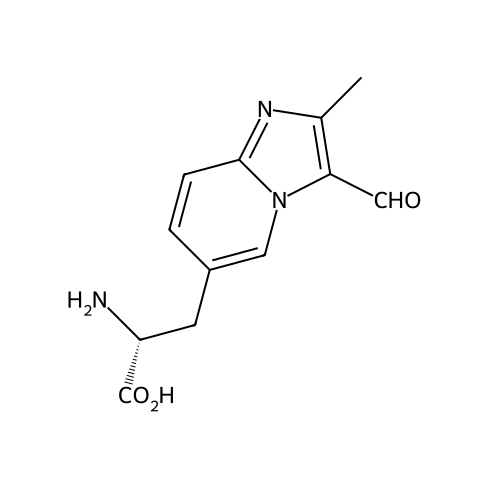 Cc1nc2ccc(C[C@@H](N)C(=O)O)cn2c1C=O